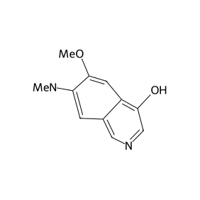 CNc1cc2cncc(O)c2cc1OC